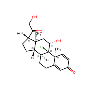 CC(=O)O[C@]1(C(=O)CO)CC[C@H]2[C@@H]3CCC4=CC(=O)C=C[C@]4(C)[C@@]3(Cl)[C@@H](O)C[C@@]21C